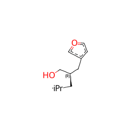 C[C](C)C[C@@H](CO)Cc1ccoc1